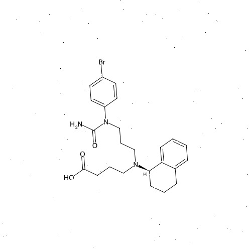 NC(=O)N(CCCN(CCCC(=O)O)[C@@H]1CCCc2ccccc21)c1ccc(Br)cc1